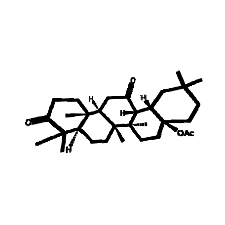 CC(=O)O[C@]12CCC(C)(C)C[C@H]1[C@H]1C(=O)C[C@@H]3[C@@]4(C)CCC(=O)C(C)(C)[C@@H]4CC[C@@]3(C)[C@]1(C)CC2